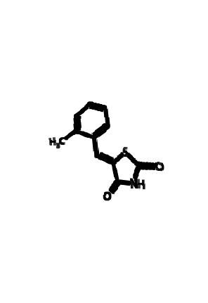 Cc1ccccc1/C=C1\SC(=O)NC1=O